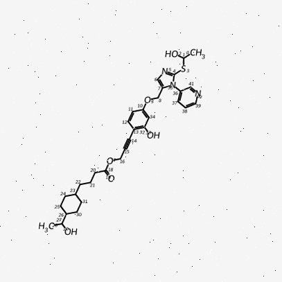 CC(O)Sc1ncc(COc2ccc(C#CCOC(=O)CCCC3CCC(C(C)O)CC3)c(O)c2)n1-c1cccnc1